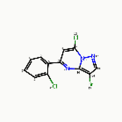 Clc1ccccc1-c1cc(Cl)n2ncc(Br)c2n1